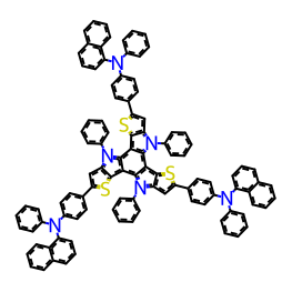 c1ccc(N(c2ccc(-c3cc4c(s3)c3c(c5c6sc(-c7ccc(N(c8ccccc8)c8cccc9ccccc89)cc7)cc6n(-c6ccccc6)c5c5c6sc(-c7ccc(N(c8ccccc8)c8cccc9ccccc89)cc7)cc6n(-c6ccccc6)c35)n4-c3ccccc3)cc2)c2cccc3ccccc23)cc1